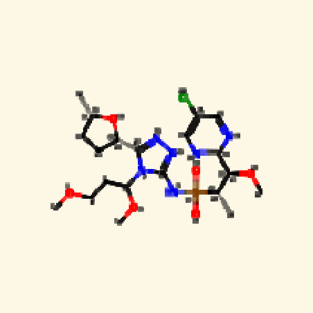 COCCC(OC)n1c(NS(=O)(=O)[C@@H](C)[C@H](OC)c2ncc(Cl)cn2)nnc1[C@@H]1CC[C@H](C)O1